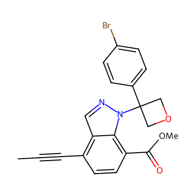 CC#Cc1ccc(C(=O)OC)c2c1cnn2C1(c2ccc(Br)cc2)COC1